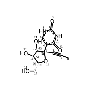 CC#C[C@@]1(c2c[nH]c(=O)[nH]c2=O)O[C@H](CO)[C@@H](O)[C@H]1O